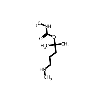 CNCCCC(C)(C)OC(=O)NC